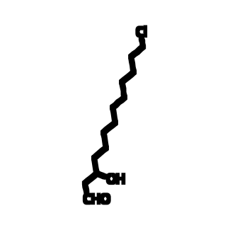 O=CCC(O)CCCCCCCCCCCl